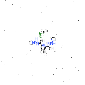 CC(=NNN1CCCC1)c1cc(C)cc(C(C)=NNN2CCCC2)n1.[Cl-].[Cl-].[Cl-].[Fe+3]